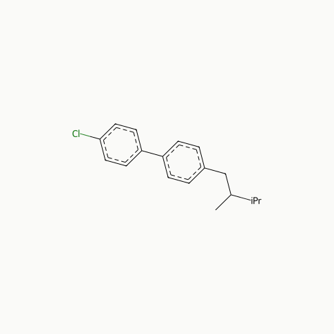 CC(C)C(C)Cc1ccc(-c2ccc(Cl)cc2)cc1